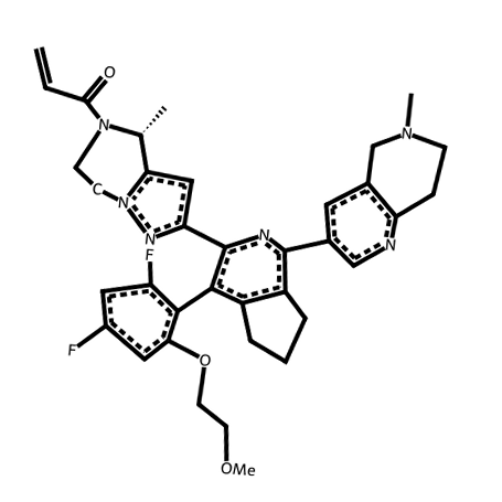 C=CC(=O)N1CCn2nc(-c3nc(-c4cnc5c(c4)CN(C)CC5)c4c(c3-c3c(F)cc(F)cc3OCCOC)CCC4)cc2[C@H]1C